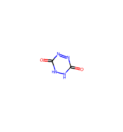 O=c1nnc(=O)[nH][nH]1